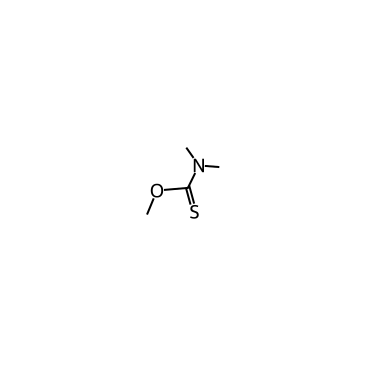 COC(=S)N(C)C